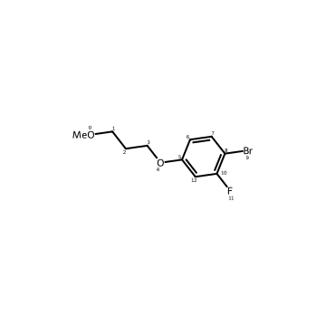 COCCCOc1ccc(Br)c(F)c1